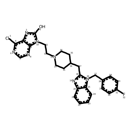 Oc1nc2c(Cl)ncnc2n1CCN1CCC(Cc2nc3ccccc3n2Cc2ccc(F)cc2)CC1